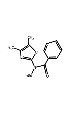 CCCCN(C(=O)c1ccccc1)c1nc(C)c(C)o1